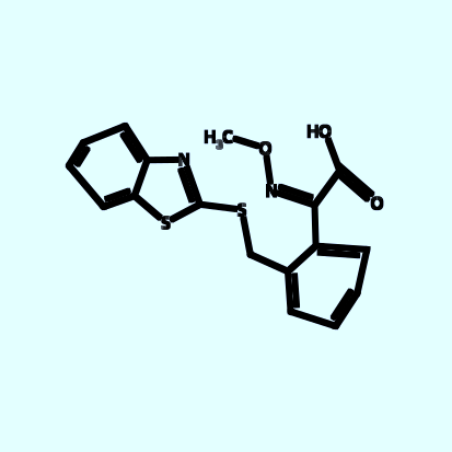 CON=C(C(=O)O)c1ccccc1CSc1nc2ccccc2s1